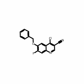 N#Cc1cnc2cc(F)c(OCc3ccccc3)cc2c1Cl